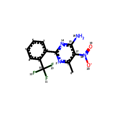 Cc1nc(-c2ccccc2C(F)(F)F)nc(N)c1[N+](=O)[O-]